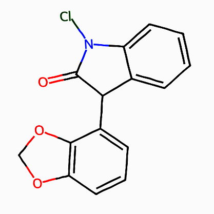 O=C1C(c2cccc3c2OCO3)c2ccccc2N1Cl